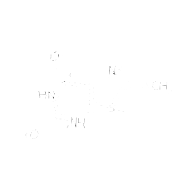 Cc1nc2c(=O)[nH]c(=O)[nH]c2s1